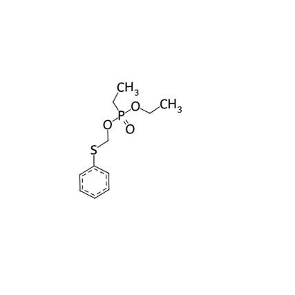 CCOP(=O)(CC)OCSc1ccccc1